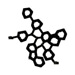 CC(C)(C)c1ccc(N2B3c4ccc5sc6ccccc6c5c4N(c4ccc(C(C)(C)C)cc4-c4ccccc4)c4cc(-c5ccccc5)cc(c43)-c3ccc(-c4ccccc4)cc32)cc1